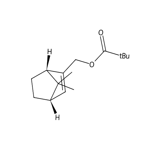 CC(C)(C)C(=O)OCC1=C[C@@H]2CC[C@H]1C2(C)C